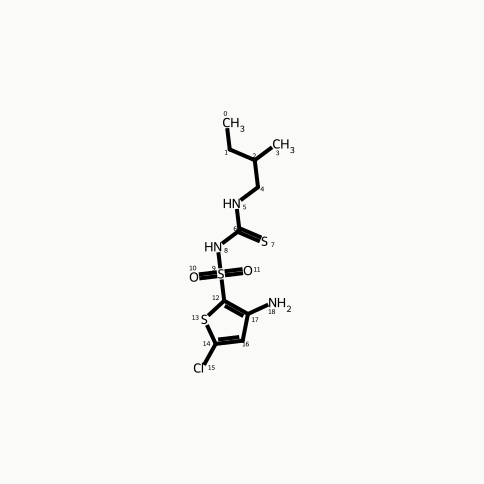 CCC(C)CNC(=S)NS(=O)(=O)c1sc(Cl)cc1N